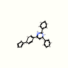 C1=CC=C(C2C=CC(c3cc(-c4ccccc4)nc(-c4ccccc4)n3)=CC2)C=1